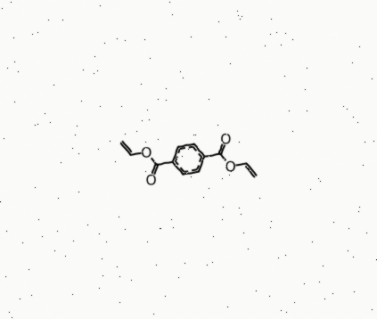 C=COC(=O)c1ccc(C(=O)OC=C)cc1